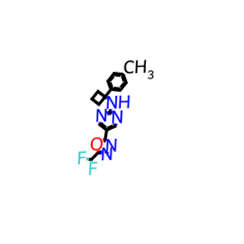 Cc1ccc(C2(Nc3ncc(-c4nnc(C(F)F)o4)cn3)CCC2)cc1